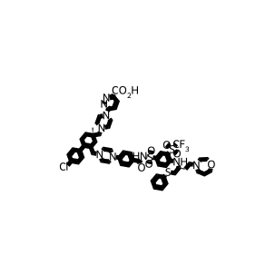 C[C@@]1(CN2CCN(c3ccc(C(=O)O)nn3)CC2)CCC(c2ccc(Cl)cc2)=C(CN2CCN(c3ccc(C(=O)NS(=O)(=O)c4ccc(N[C@H](CCN5CCCOCC5)CSc5ccccc5)c(S(=O)(=O)C(F)(F)F)c4)cc3)CC2)C1